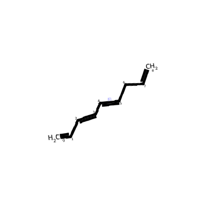 C=CC=C/[C]=C/CC=C